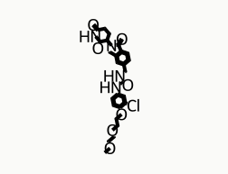 COCCOCCOc1ccc(NC(=O)NCc2ccc3c(c2)CN(C2CCC(=O)NC2=O)C3=O)cc1Cl